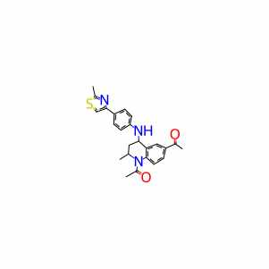 CC(=O)c1ccc2c(c1)C(Nc1ccc(-c3csc(C)n3)cc1)CC(C)N2C(C)=O